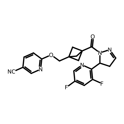 N#Cc1ccc(OCC23CC(C(=O)N4N=CCC4c4ncc(F)cc4F)(C2)C3)nc1